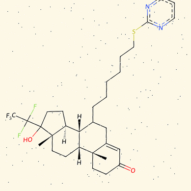 C[C@]12CCC(=O)C=C1CC(CCCCCCSc1ncccn1)[C@@H]1[C@H]2CC[C@@]2(C)[C@H]1CCC2(O)C(F)(F)C(F)(F)F